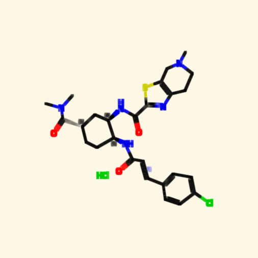 CN1CCc2nc(C(=O)N[C@@H]3C[C@@H](C(=O)N(C)C)CC[C@@H]3NC(=O)/C=C/c3ccc(Cl)cc3)sc2C1.Cl